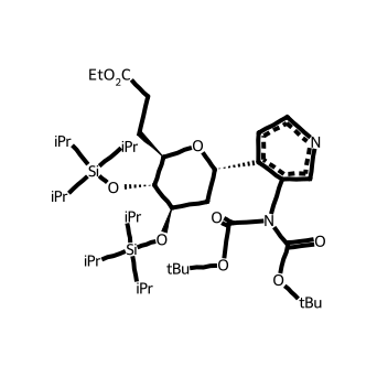 CCOC(=O)CC[C@H]1O[C@H](c2ccncc2N(C(=O)OC(C)(C)C)C(=O)OC(C)(C)C)C[C@@H](O[Si](C(C)C)(C(C)C)C(C)C)[C@@H]1O[Si](C(C)C)(C(C)C)C(C)C